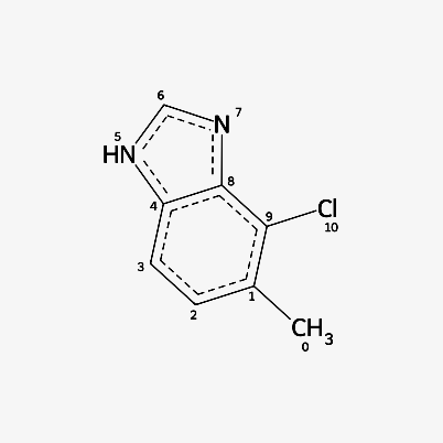 Cc1ccc2[nH]cnc2c1Cl